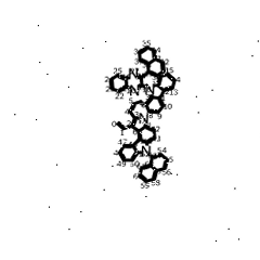 C=Cc1c(/C=C\C)n(-c2ccc3c4ccccc4n(-c4nc5ccccc5nc4-c4cccc5ccccc45)c3c2)c2ccc3c(c4ccccc4n3-c3cccc4ccccc34)c12